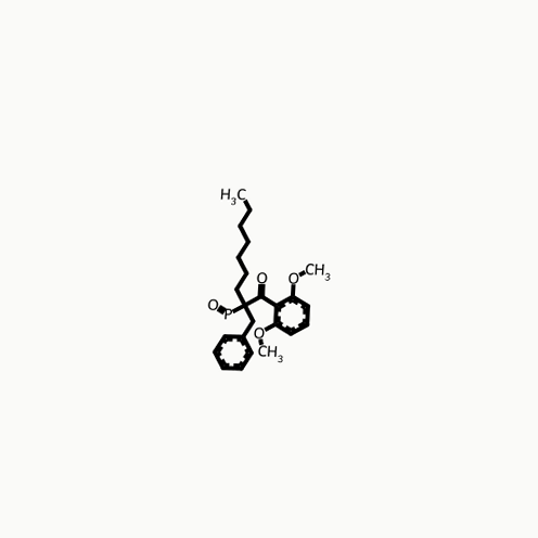 CCCCCCCC(Cc1ccccc1)(P=O)C(=O)c1c(OC)cccc1OC